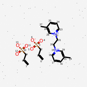 C=CCS(=O)(=O)[O-].C=CCS(=O)(=O)[O-].Cc1ccc[n+](CC[n+]2cccc(C)c2)c1